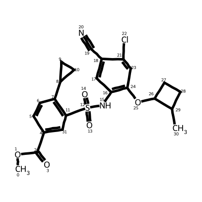 COC(=O)c1ccc(C2CC2)c(S(=O)(=O)Nc2cc(C#N)c(Cl)cc2OC2CCC2C)c1